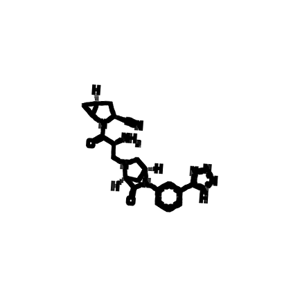 N#C[C@@H]1C[C@@H]2CC2N1C(=O)[C@@H](N)CN1C[C@@H]2C[C@H]1C(=O)N2c1cccc(-c2nnn[nH]2)c1